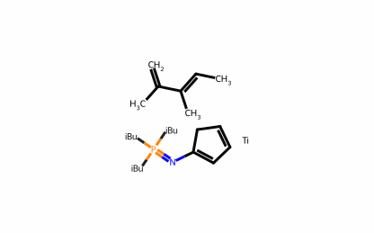 C=C(C)C(C)=CC.CCC(C)P(=NC1=CC=CC1)(C(C)CC)C(C)CC.[Ti]